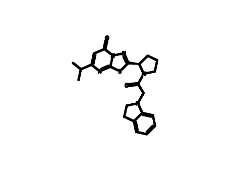 CC(C)c1cc(=O)n2nc([C@H]3CCCN3C(=O)CN3CCc4ccccc43)sc2n1